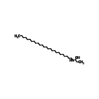 CCCCCCCCCCCCCCCCCCCCCCCCCCNC(O)CC